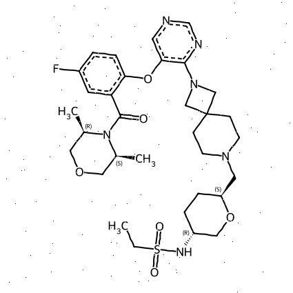 CCS(=O)(=O)N[C@@H]1CC[C@@H](CN2CCC3(CC2)CN(c2ncncc2Oc2ccc(F)cc2C(=O)N2[C@H](C)COC[C@@H]2C)C3)OC1